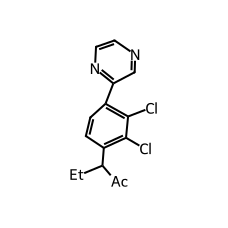 CCC(C(C)=O)c1ccc(-c2cnccn2)c(Cl)c1Cl